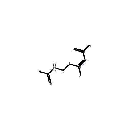 C=C(C)/C=C(/C)CCNC(=C)C